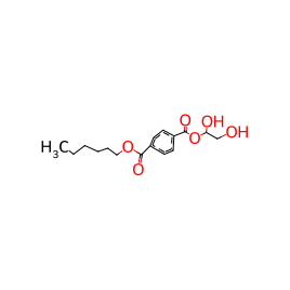 CCCCCCOC(=O)c1ccc(C(=O)OC(O)CO)cc1